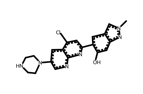 Cn1cc2cc(-c3cc(Cl)c4cc(N5CCNCC5)cnc4n3)c(O)cc2n1